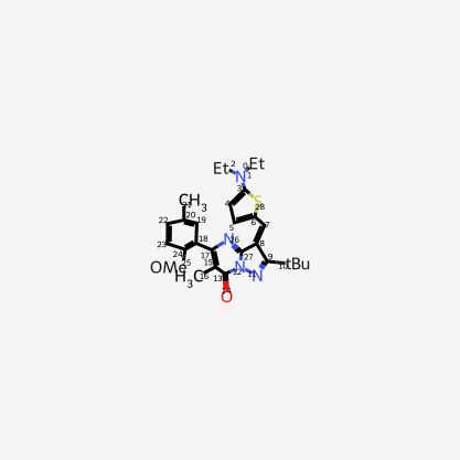 CCN(CC)c1ccc(/C=c2/c(C(C)(C)C)nn3c(=O)c(C)c(-c4cc(C)ccc4OC)nc23)s1